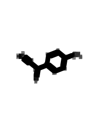 C#CC(=O)c1ccc(C)cc1